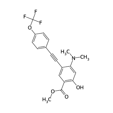 COC(=O)c1cc(C#Cc2ccc(OC(F)(F)F)cc2)c(N(C)C)cc1O